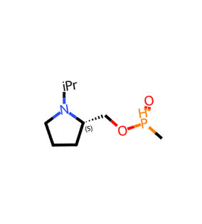 CC(C)N1CCC[C@H]1CO[PH](C)=O